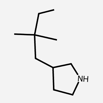 CCC(C)(C)CC1CCNC1